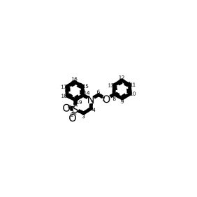 O=S1(=O)CCN(COc2cc[c]cc2)c2ccccc21